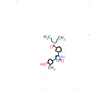 CCCN(CCC)C(=O)c1cccc(-c2cc(-c3ccc(O)c(C)c3)nc(=O)[nH]2)c1